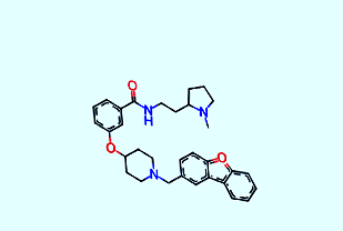 CN1CCCC1CCNC(=O)c1cccc(OC2CCN(Cc3ccc4oc5ccccc5c4c3)CC2)c1